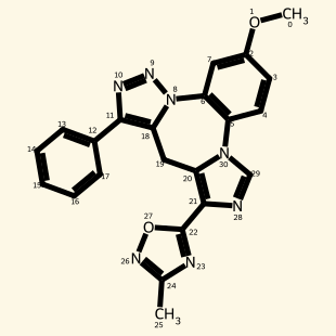 COc1ccc2c(c1)-n1nnc(-c3ccccc3)c1Cc1c(-c3nc(C)no3)ncn1-2